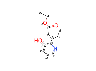 CCOC(=O)CC(CC)c1ncccc1O